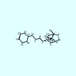 CC12CCC(CN(CCCCC3CCCCC3)C1)C2(C)C